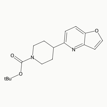 CC(C)(C)OC(=O)N1CCC(c2ccc3occc3n2)CC1